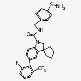 NSc1ccc(CNC(=O)N2CC3(CCCC3)c3cc(-c4c(F)cccc4C(F)(F)F)ccc32)cc1